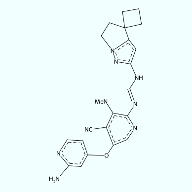 CNc1c(/N=C/Nc2cc3n(n2)CCC32CCC2)ncc(Oc2ccnc(N)c2)c1C#N